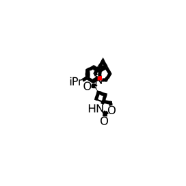 CC(C)c1ccc(C23CCN(C(=O)[C@H]4C[C@]5(COC(=O)N5)C4)CC2C3)cc1